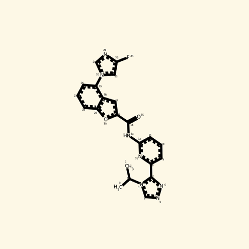 CC(C)n1cnnc1-c1cccc(NC(=O)c2cc3c(-n4cnc(F)c4)cccc3o2)n1